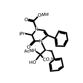 COC(=O)N1C=C(c2ccccc2)N([C@@H](Cc2ccccc2)C(O)(NC(C)=O)C(=O)O)C(=O)C1C(C)C